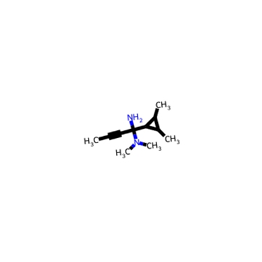 CC#CC(N)(C1C(C)C1C)N(C)C